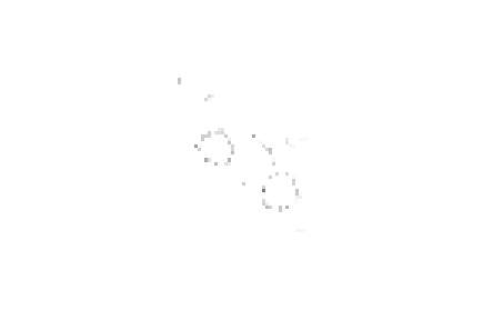 CC1=Nc2cc(OC(=O)O)ccc2Oc2cc(C)ccc21